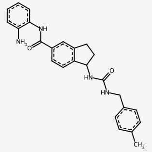 Cc1ccc(CNC(=O)NC2CCc3cc(C(=O)Nc4ccccc4N)ccc32)cc1